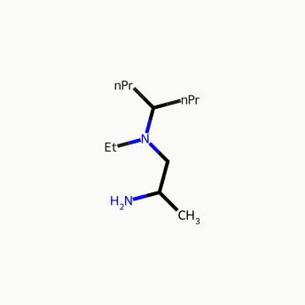 CCCC(CCC)N(CC)CC(C)N